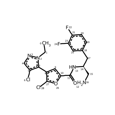 CCn1ncc(Cl)c1-c1cc(C(=O)N[C@H](CN)Cc2ccc(F)c(F)c2)oc1Cl